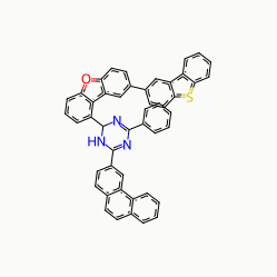 c1ccc(C2=NC(c3cccc4oc5ccc(-c6ccc7sc8ccccc8c7c6)cc5c34)NC(c3ccc4ccc5ccccc5c4c3)=N2)cc1